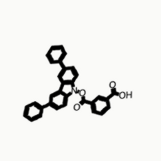 O=C(O)c1cccc(C(=O)On2c3ccc(-c4ccccc4)cc3c3cc(-c4ccccc4)ccc32)c1